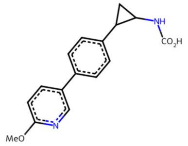 COc1ccc(-c2ccc(C3CC3NC(=O)O)cc2)cn1